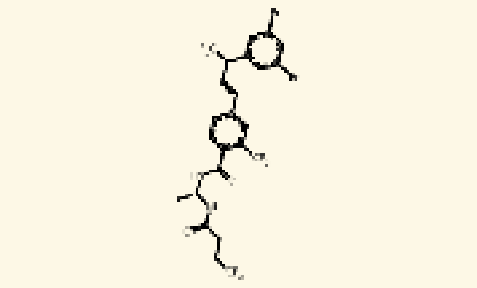 C[C@H](NC(=O)CCC(F)(F)F)NC(=O)c1ccc(/C=C/C(c2cc(Br)cc(Br)c2)C(F)(F)F)cc1C(F)(F)F